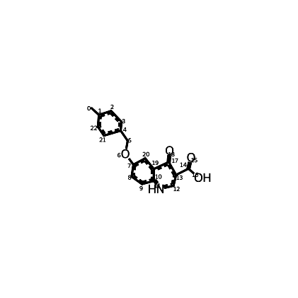 Cc1ccc(COc2ccc3[nH]cc(C(=O)O)c(=O)c3c2)cc1